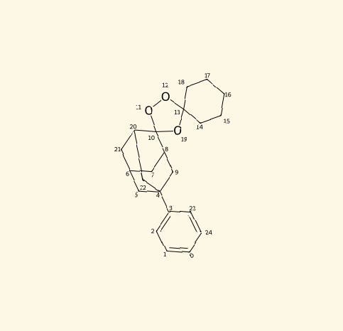 c1ccc(C23CC4CC(C2)C2(OOC5(CCCCC5)O2)C(C4)C3)cc1